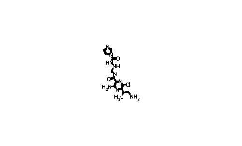 CC(CN)c1nc(N)c(C(=O)N=CNNC(=O)n2ccnc2)nc1Cl